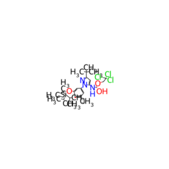 Cc1cc(O[Si](C(C)C)(C(C)C)C(C)C)cc(-n2nc(C(C)(C)C)cc2NC(O)OCC(Cl)(Cl)Cl)c1